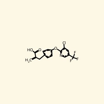 C=C(Cc1ccc(Oc2ncc(C(F)(F)F)cc2Cl)cc1)C(=O)O